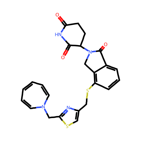 O=C1CCC(N2Cc3c(SCc4csc(CN5C=CC=CC=C5)n4)cccc3C2=O)C(=O)N1